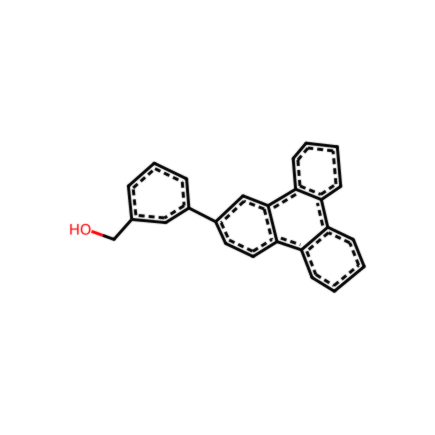 OCc1cccc(-c2ccc3c4ccccc4c4ccccc4c3c2)c1